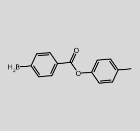 Bc1ccc(C(=O)Oc2ccc(C)cc2)cc1